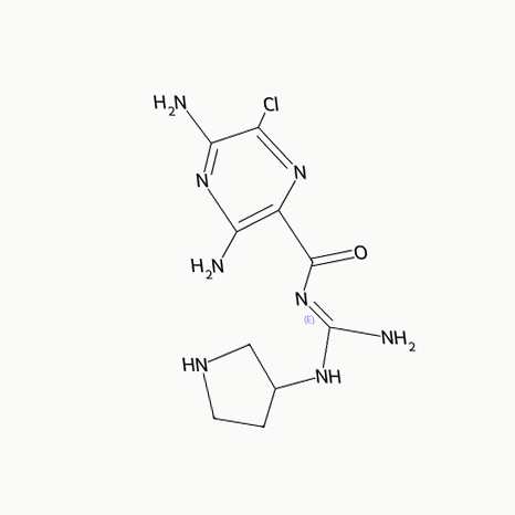 N/C(=N\C(=O)c1nc(Cl)c(N)nc1N)NC1CCNC1